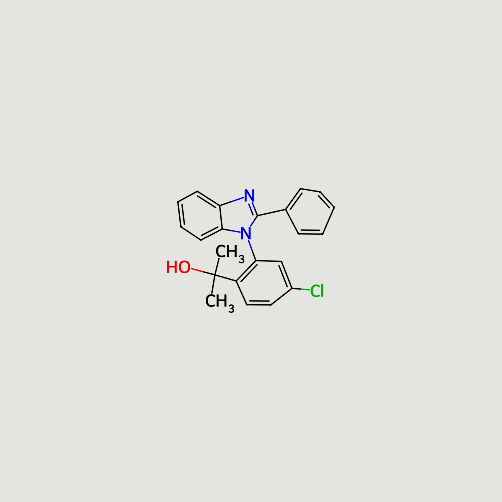 CC(C)(O)c1ccc(Cl)cc1-n1c(-c2ccccc2)nc2ccccc21